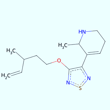 C=CC(C)CCOc1nsnc1C1=CCCNC1C